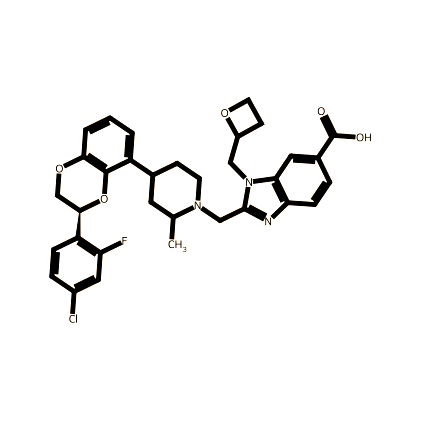 CC1CC(c2cccc3c2O[C@@H](c2ccc(Cl)cc2F)CO3)CCN1Cc1nc2ccc(C(=O)O)cc2n1CC1CCO1